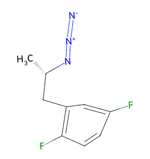 C[C@@H](Cc1cc(F)ccc1F)N=[N+]=[N-]